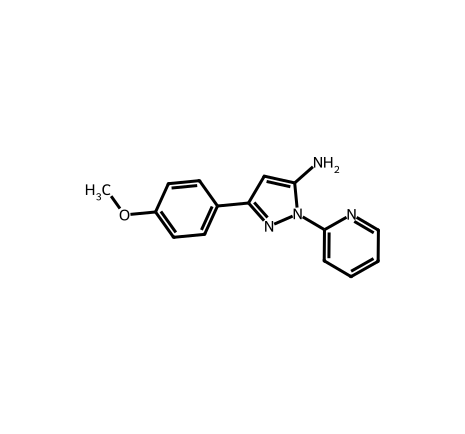 COc1ccc(-c2cc(N)n(-c3ccccn3)n2)cc1